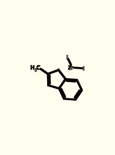 CC1=Cc2ccccc2[CH]1.[I][Zr][I]